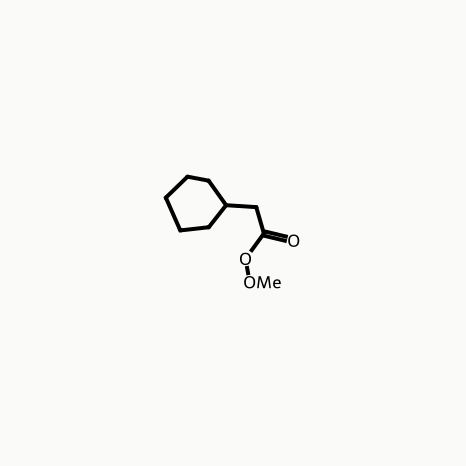 COOC(=O)CC1CCCCC1